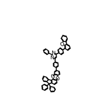 c1ccc(-c2nc(-c3ccc(-c4ccc5c(c4)Oc4c(ccc6c4-c4ccccc4C6(c4ccccc4)c4ccccc4)O5)cc3)cc(-c3ccc(-c4cccc5c4oc4ccccc45)cc3)n2)cc1